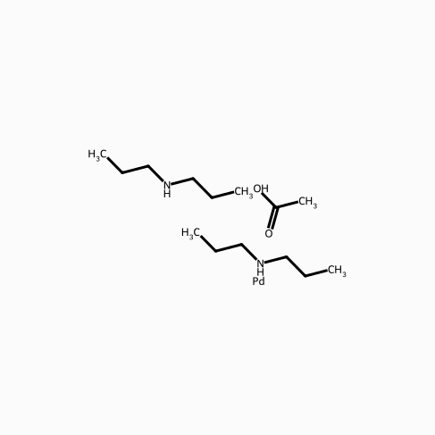 CC(=O)O.CCCNCCC.CCCNCCC.[Pd]